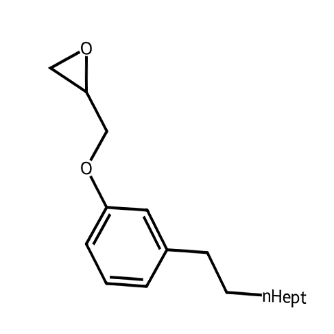 CCCCCCCCCc1cccc(OCC2CO2)c1